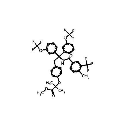 COC(=O)C(C)(C)Oc1ccc(CC(NC(=O)c2ccc(C)c(C(F)(F)F)c2)(c2cccc(OC(F)(F)F)c2)c2cccc(OC(F)(F)F)c2)cc1